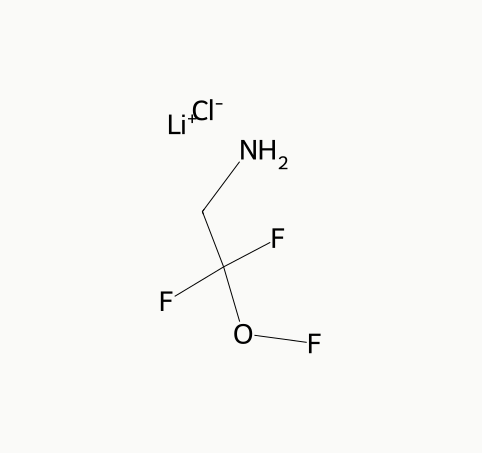 NCC(F)(F)OF.[Cl-].[Li+]